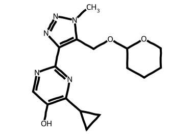 Cn1nnc(-c2ncc(O)c(C3CC3)n2)c1COC1CCCCO1